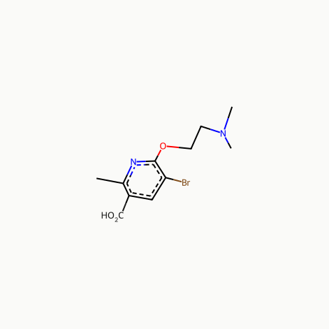 Cc1nc(OCCN(C)C)c(Br)cc1C(=O)O